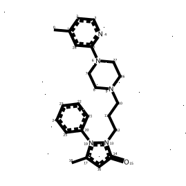 Cc1ccnc(N2CCN(CCCn3c(=O)cc(C)n3-c3ccccc3)CC2)c1